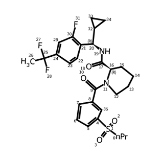 CCCS(=O)(=O)c1cccc(C(=O)N2CCCC[C@@H]2C(=O)N[C@@H](c2ccc(C(C)(F)F)cc2F)C2CC2)c1